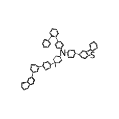 CC1(c2ccc(-c3cccc(-c4ccc5ccccc5c4)c3)cc2)C=CC(N(c2ccc(-c3ccc4sc5ccccc5c4c3)cc2)c2ccc(-c3ccccc3-c3ccccc3)cc2)=CC1